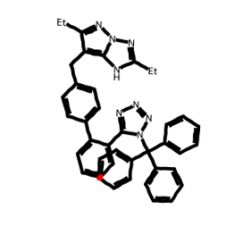 CCc1nn2nc(CC)c(Cc3ccc(-c4ccccc4-c4nnnn4C(c4ccccc4)(c4ccccc4)c4ccccc4)cc3)c2[nH]1